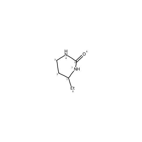 CCC1CCNC(=O)N1